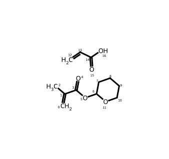 C=C(C)C(=O)OC1CCCCO1.C=CC(=O)O